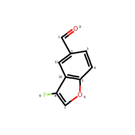 O=Cc1ccc2occ(F)c2c1